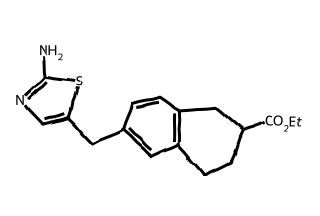 CCOC(=O)C1CCc2cc(Cc3cnc(N)s3)ccc2C1